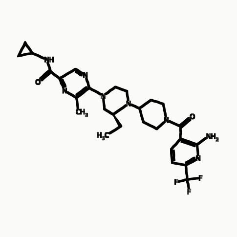 CC[C@H]1CN(c2ncc(C(=O)NC3CC3)nc2C)CCN1C1CCN(C(=O)c2ccc(C(F)(F)F)nc2N)CC1